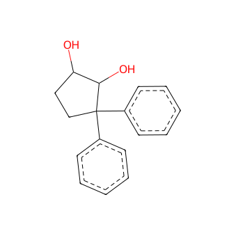 OC1CCC(c2ccccc2)(c2ccccc2)C1O